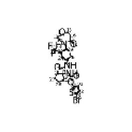 O=C(NC1(C(=O)Nc2ccc(N3CCOCCC3=O)c(C(F)(F)F)c2)CCCC1)Oc1ccc(Br)s1